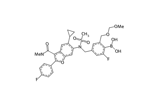 CNC(=O)c1c(-c2ccc(F)cc2)oc2cc(N(Cc3cc(F)c(B(O)O)c(COCOC)c3)S(C)(=O)=O)c(C3CC3)cc12